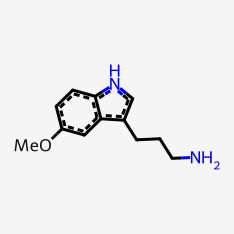 COc1ccc2[nH]cc(CCCN)c2c1